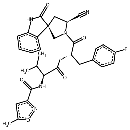 Cc1cc(C(=O)N[C@H](C(=O)C[C@@H](Cc2ccc(F)cc2)C(=O)N2C[C@]3(C[C@H]2C#N)C(=O)Nc2ccccc23)C(C)C)no1